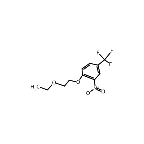 CCOCCOc1ccc(C(F)(F)F)cc1[N+](=O)[O-]